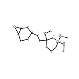 COC1(CCC2CCC3OC3C2)CCC[Si](OC)(OC)O1